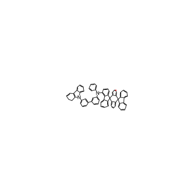 C1=Cc2c(n(-c3cccc(-c4cccc(N(c5ccccc5)c5cccc6c5-c5ccccc5C65c6ccccc6C6(c7ccccc7-c7ccccc76)c6ccccc65)c4)c3)c3ccccc23)CC1